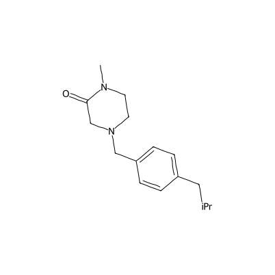 CC(C)Cc1ccc(CN2CCN(C)C(=O)C2)cc1